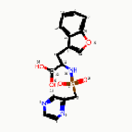 O=S(=O)(Cc1cnccn1)NC(Cc1coc2ccccc12)B(O)O